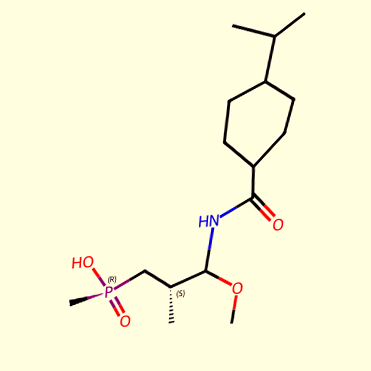 COC(NC(=O)C1CCC(C(C)C)CC1)[C@H](C)C[P@](C)(=O)O